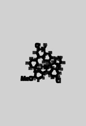 COc1ccc([C@H](C)NC(c2ccc(Cl)cc2)(c2ccc3c(c2)c(-c2cccc(Cl)c2)cc(=O)n3C)c2cncn2C)cc1